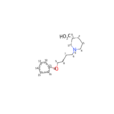 O=C(O)[C@@H]1CCCN(CCCCOc2ccccc2)C1